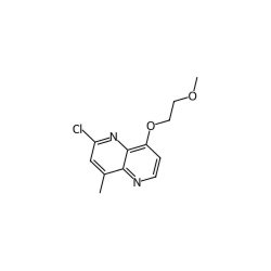 COCCOc1ccnc2c(C)cc(Cl)nc12